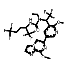 CCN(C(=O)NC(CCC(F)(F)F)C(F)(F)F)C(c1cc(-c2cn3ccnc3c(OC)n2)cnc1OC)C(F)(F)F